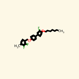 CCCCCCCOc1ccc(-c2ccc(OCc3ccc(C)c(F)c3F)cc2)cc1F